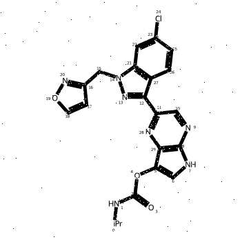 CC(C)NC(=O)Oc1c[nH]c2ncc(-c3nn(Cc4ccon4)c4cc(Cl)ccc34)nc12